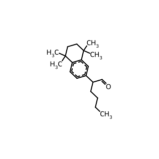 CCCCC(C=O)c1ccc2c(c1)C(C)(C)CCC2(C)C